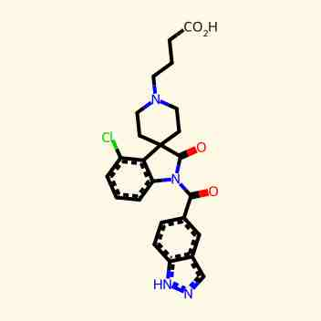 O=C(O)CCCN1CCC2(CC1)C(=O)N(C(=O)c1ccc3[nH]ncc3c1)c1cccc(Cl)c12